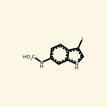 O=C(O)Nc1ccc2c(I)c[nH]c2c1